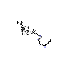 CCCCC/C=C\C/C=C\C/C=C\C/C=C\CCCC(=O)OC[C@H](COP(=O)(O)OCCN)OO